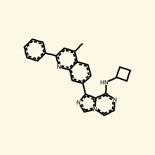 Cc1cc(-c2ccccc2)nc2cc(-c3ncn4ccnc(NC5CCC5)c34)ccc12